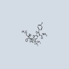 CCS(=O)(=O)Nc1nc2oc(-c3ccc(F)cc3)c(C(N)=O)c2cc1C(C)(C)C